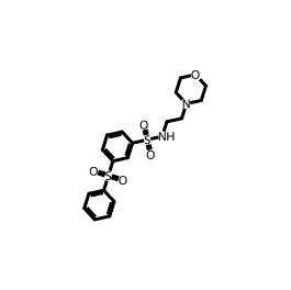 O=S(=O)(NCCN1CCOCC1)c1cccc(S(=O)(=O)c2ccccc2)c1